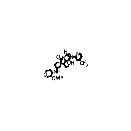 CO[C@@H]1COCC[C@@H]1N[C@@H]1CC[C@@]2(C1)C(=O)N1[C@H]3C[C@H](N(c4cc(C(F)(F)F)ccn4)C3)C13OCCC32